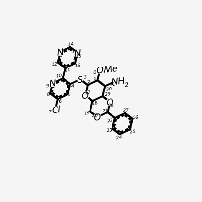 COC1C(Sc2cc(Cl)cnc2-c2cncnc2)OC2COC(c3ccccc3)OC2C1N